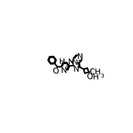 CC1(O)CC(C2=C3C=NC=C[N+]3(N)C(c3ccc(C(=O)c4ccccc4)nc3)=N2)C1